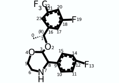 C[C@@H](OC1OCCNC1c1ccc(F)cc1)c1cc(F)cc(C(F)(F)F)c1